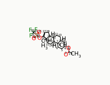 CC(=O)O[C@H]1CC[C@@]2(C)[C@@H](CC[C@@H]3[C@@H]2CC[C@]2(C)C(OS(=O)(=O)C(F)(F)F)=CC[C@@H]32)C1